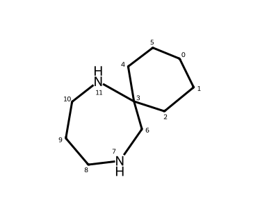 C1CCC2(CC1)CNCCCN2